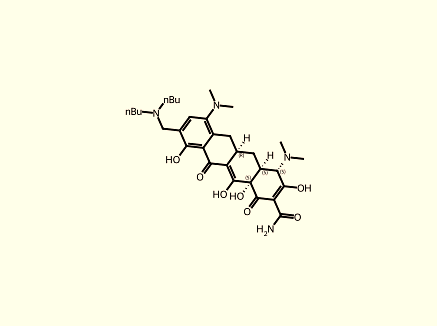 CCCCN(CCCC)Cc1cc(N(C)C)c2c(c1O)C(=O)C1=C(O)[C@]3(O)C(=O)C(C(N)=O)=C(O)[C@@H](N(C)C)[C@@H]3C[C@@H]1C2